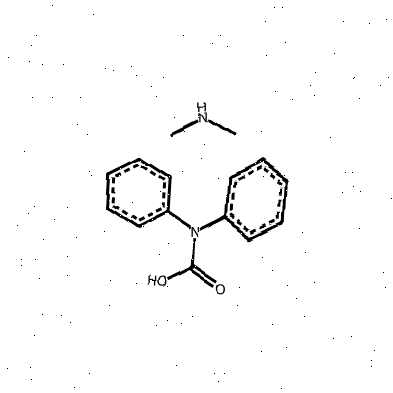 CNC.O=C(O)N(c1ccccc1)c1ccccc1